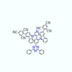 N#Cc1cc(C#N)c(-c2ccc3c(c2)c2ccccc2n3-c2cnccc2-c2ccc(-c3nc(-c4ccccc4)nc(-c4ccccc4)n3)cc2-n2c3ccccc3c3cc(-c4c(C#N)cc(C#N)cc4C#N)ccc32)c(C#N)c1